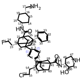 C=C(/C=C\C(=C/C)C12CC3(C(=O)N[C@H]4CC[C@@H](CN)CC4)C[C@](CCF)(C1)C[C@@](c1ccccc1)(C3)C2)[C@]12CC3CC(C(=O)N[C@@H]4CCNC[C@H]4O)(C[C@](CCCl)(C3)C1)C2